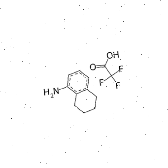 Nc1cccc2c1CCCC2.O=C(O)C(F)(F)F